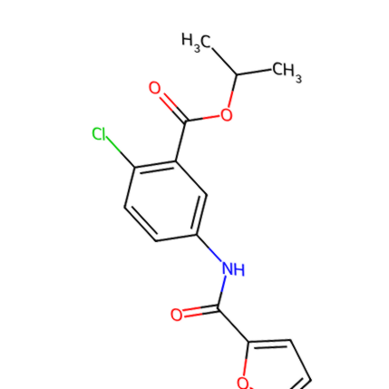 CC(C)OC(=O)c1cc(NC(=O)c2ccco2)ccc1Cl